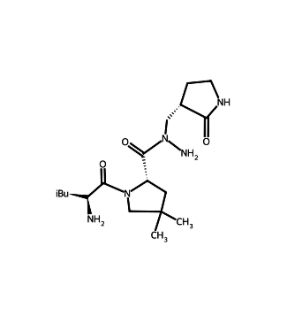 CC[C@H](C)[C@H](N)C(=O)N1CC(C)(C)C[C@H]1C(=O)N(N)C[C@@H]1CCNC1=O